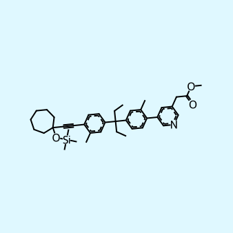 CCC(CC)(c1ccc(C#CC2(O[Si](C)(C)C)CCCCCC2)c(C)c1)c1ccc(-c2cncc(CC(=O)OC)c2)c(C)c1